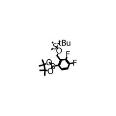 CC1(C)OB(c2ccc(F)c(F)c2CO[Si](C)(C)C(C)(C)C)OC1(C)C